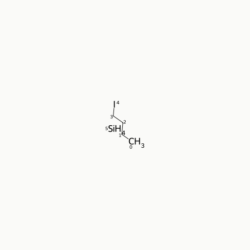 CCCCI.[SiH4]